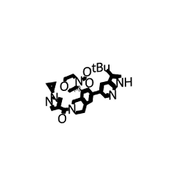 Cc1c[nH]c2ncc(-c3cc4c(c([C@@H]5COCCN5C(=O)OC(C)(C)C)c3)CN(C(=O)c3cnn(C5CC5)c3)CC4)cc12